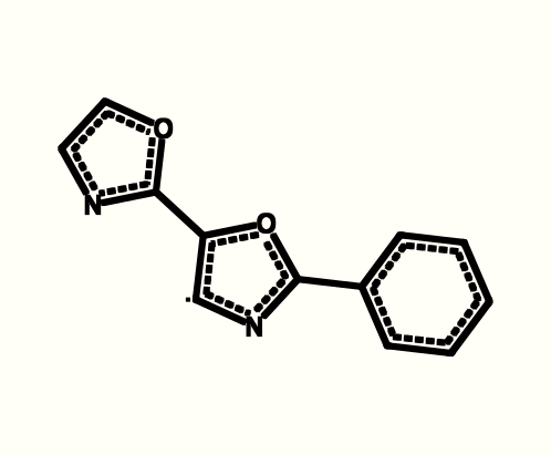 [c]1nc(-c2ccccc2)oc1-c1ncco1